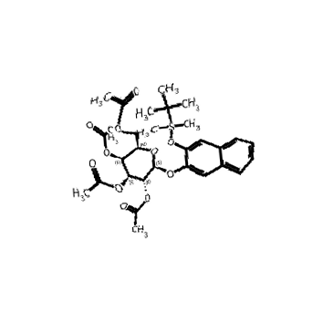 CC(=O)OC[C@H]1O[C@@H](Oc2cc3ccccc3cc2O[Si](C)(C)C(C)(C)C)[C@H](OC(C)=O)[C@@H](OC(C)=O)[C@H]1OC(C)=O